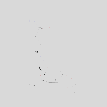 CNC(=O)CCC(=O)NC[C@@]12OC[C@H]3OC(C)(C)O[C@H]3[C@@H]1OC(C)(C)O2